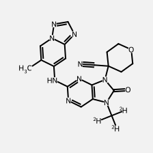 [2H]C([2H])([2H])n1c(=O)n(C2(C#N)CCOCC2)c2nc(Nc3cc4ncnn4cc3C)ncc21